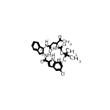 CC(=O)C(CC(=O)N[C@H]1c2ccccc2C[C@H]1NC(=O)c1cc2cc(Cl)ccc2[nH]1)NC(=O)OC(C)(C)C